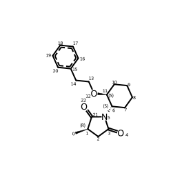 C[C@@H]1CC(=O)N([C@H]2CCCC[C@@H]2OCCc2ccccc2)C1=O